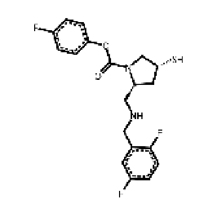 O=C(Oc1ccc(F)cc1)N1C[C@H](S)C[C@H]1CNCc1cc(F)ccc1F